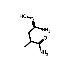 CC(C/C(N)=N\O)C(N)=O